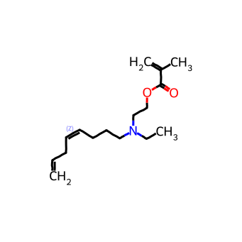 C=CC/C=C\CCCN(CC)CCOC(=O)C(=C)C